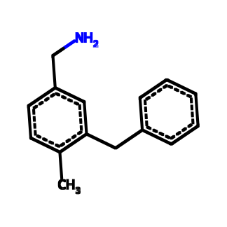 Cc1ccc(CN)cc1Cc1ccccc1